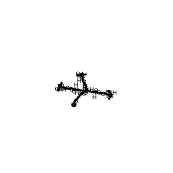 CC[C@H]1O[C@@H](OCCOCCOCC(=O)NCCCC[C@H](NC(=O)COCCOCCO[C@@H]2O[C@H](CC)[C@H](C)[C@H](C)[C@H]2NC(C)=O)C(=O)N[C@H](CCCCNC(=O)COCCOCCO[C@@H]2O[C@H](CC)[C@H](C)[C@H](C)[C@H]2NC(C)=O)C(=O)NCCCCCCOCc2ccccc2)[C@H](NC(C)=O)[C@@H](C)[C@H]1C